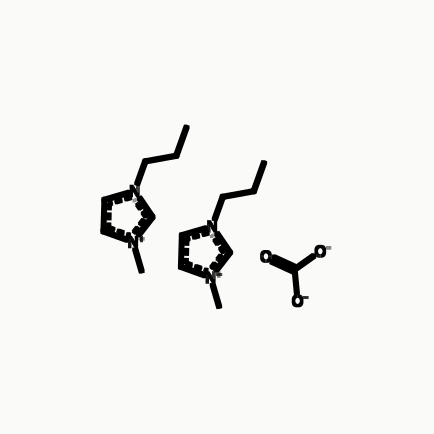 CCCn1cc[n+](C)c1.CCCn1cc[n+](C)c1.O=C([O-])[O-]